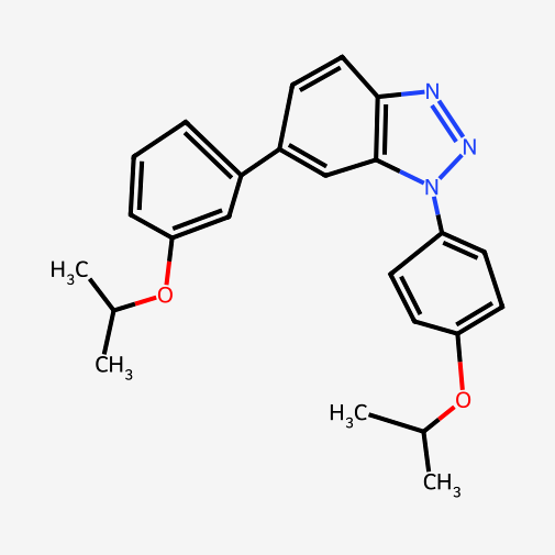 CC(C)Oc1ccc(-n2nnc3ccc(-c4cccc(OC(C)C)c4)cc32)cc1